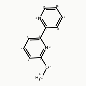 COc1cccc(-c2ccc[c]n2)n1